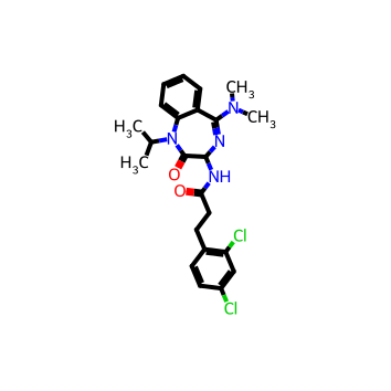 CC(C)N1C(=O)C(NC(=O)CCc2ccc(Cl)cc2Cl)N=C(N(C)C)c2ccccc21